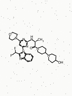 C[C@H](Nc1nc(N2CCOCC2)cc(-n2c(C(F)F)nc3ccccc32)n1)C(=O)N1CCC(N2CCC(O)CC2)CC1